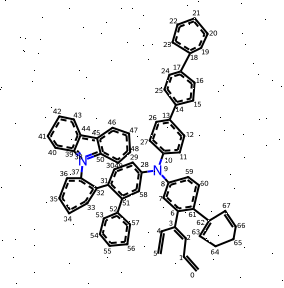 C=C/C=C(\C=C)c1cc(N(c2ccc(-c3ccc(-c4ccccc4)cc3)cc2)c2ccc(-c3ccccc3-n3c4ccccc4c4ccccc43)c(-c3ccccc3)c2)ccc1C1=CCCC=C1